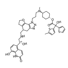 Cc1ccc(C(O)(C(=O)O[C@H]2CC[C@H](N(C)CCCn3nnc4c3C3=C(CCO3)C(CNC[C@H](O)c3ccc(O)c5[nH]c(=O)ccc35)C4)CC2)c2cccs2)s1